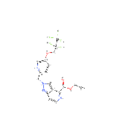 CCOC(=O)c1nccc2nn(Cc3ccc(OCC(F)(F)C(F)(F)F)cn3)cc12